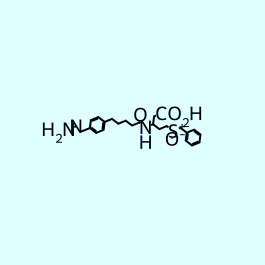 NN=Cc1ccc(CCCCC(=O)NC(CC[S+]([O-])Cc2ccccc2)CC(=O)O)cc1